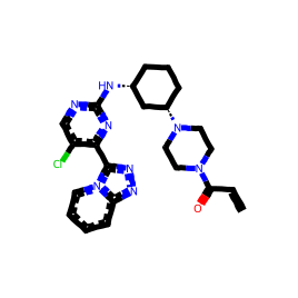 C=CC(=O)N1CCN([C@H]2CCC[C@@H](Nc3ncc(Cl)c(-c4nnc5ccccn45)n3)C2)CC1